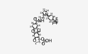 O=C(O)OC1CCOc2cc(Oc3ccc(C(=O)NCCc4cccn4-c4ccc(C(F)(F)F)cc4)cc3)c(Cl)cc21